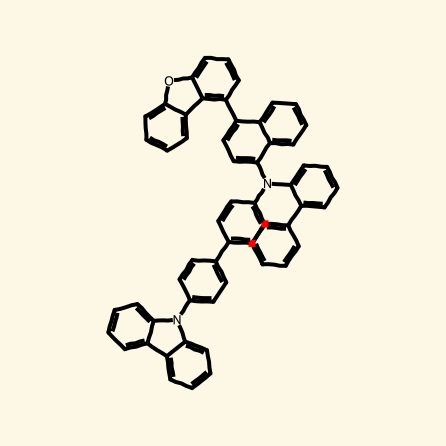 c1ccc(-c2ccccc2N(c2ccc(-c3ccc(-n4c5ccccc5c5ccccc54)cc3)cc2)c2ccc(-c3cccc4oc5ccccc5c34)c3ccccc23)cc1